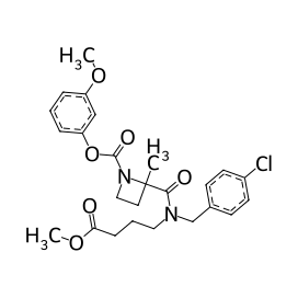 COC(=O)CCCN(Cc1ccc(Cl)cc1)C(=O)C1(C)CCN1C(=O)Oc1cccc(OC)c1